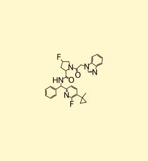 CC1(c2ccc(C(NC(=O)C3CC(F)CN3C(=O)Cn3cnc4ccccc43)c3ccccc3)nc2F)CC1